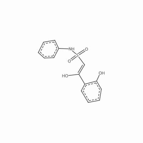 O=S(=O)(C=C(O)c1ccccc1O)Nc1ccccc1